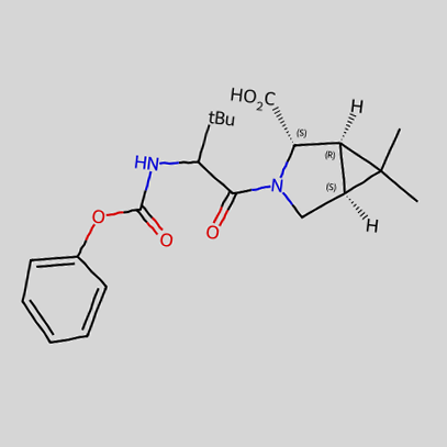 CC(C)(C)C(NC(=O)Oc1ccccc1)C(=O)N1C[C@H]2[C@@H]([C@H]1C(=O)O)C2(C)C